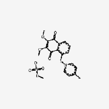 COC1=C(OC)C(=O)c2c(S[n+]3ccc(C)cc3)cccc2C1=O.COS(=O)(=O)[O-]